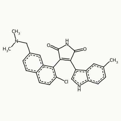 Cc1ccc2[nH]cc(C3=C(c4c(Cl)ccc5ccc(CN(C)C)cc45)C(=O)NC3=O)c2c1